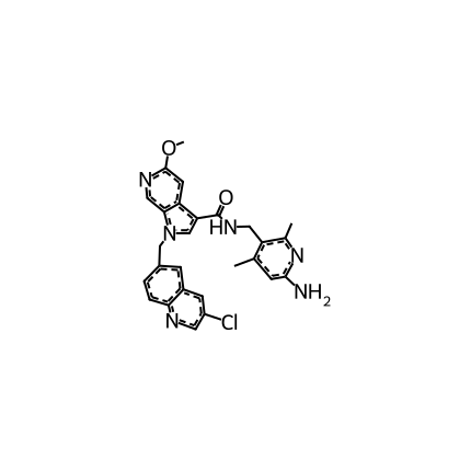 COc1cc2c(C(=O)NCc3c(C)cc(N)nc3C)cn(Cc3ccc4ncc(Cl)cc4c3)c2cn1